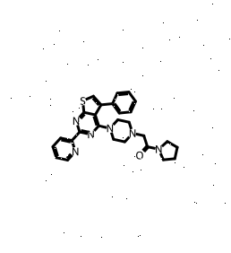 O=C(CN1CCN(c2nc(-c3ccccn3)nc3scc(-c4ccccc4)c23)CC1)N1CCCC1